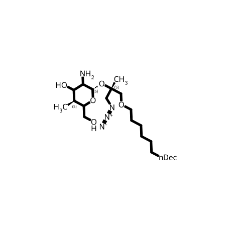 CCCCCCCCCCCCCCCCOC[C@](C)(CN=[N+]=[N-])O[C@@H]1OC(CO)[C@@H](C)C(O)C1N